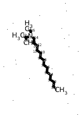 CCCCCCCCCCCCCCCN(CC)C(C)C